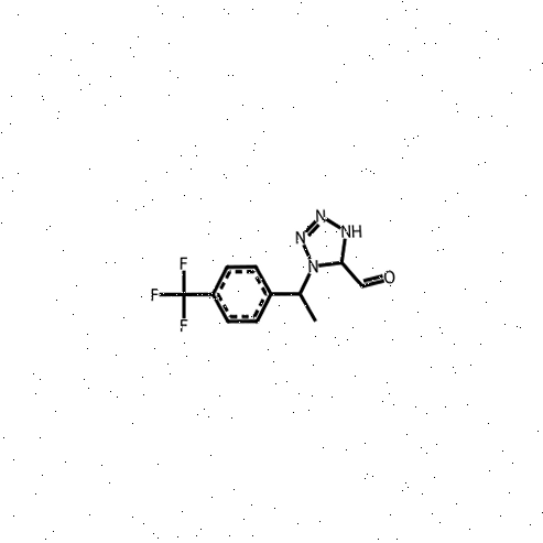 CC(c1ccc(C(F)(F)F)cc1)N1N=NNC1C=O